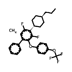 C.CCC[C@H]1CC[C@H](c2c(F)cc(-c3ccccc3)c(Oc3ccc(OC(F)(F)F)cc3)c2F)CC1